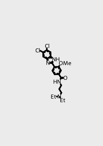 CCN(CC)CCCNC(=O)c1ccc(-c2nc3cc(Cl)c(Cl)cc3[nH]2)c(OC)c1